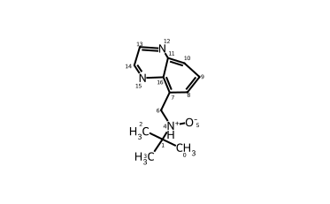 CC(C)(C)[NH+]([O-])Cc1cccc2nccnc12